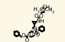 CS(C)(C)CCOC(=O)NC1CC1CC[C@H]1CN(C(=O)OCc2ccccc2)CCN1S(=O)(=O)c1ccccc1